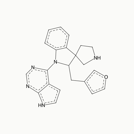 c1ccc2c(c1)N(c1ncnc3[nH]ccc13)C(Cc1ccoc1)C21CCNC1